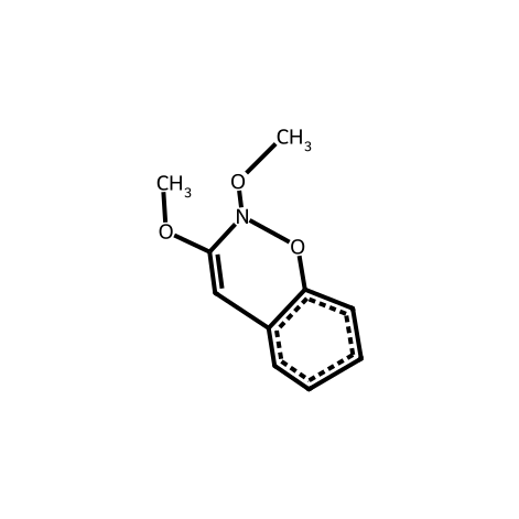 COC1=Cc2ccccc2ON1OC